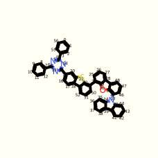 c1ccc(-c2nc(-c3ccccc3)nc(-c3ccc4c(c3)sc3c(-c5cccc6c5oc5c(-n7c8ccccc8c8ccccc87)cccc56)cccc34)n2)cc1